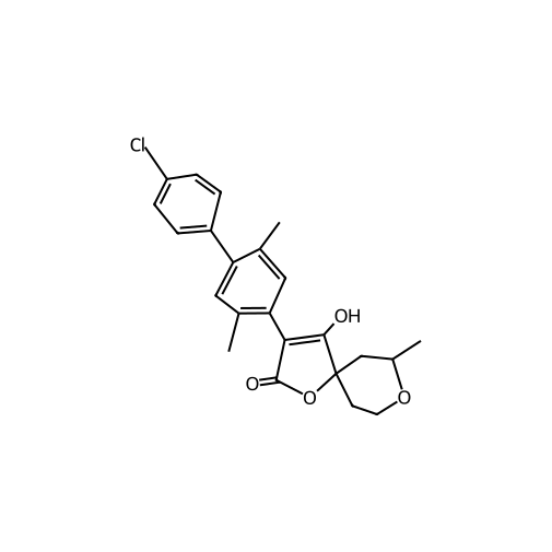 Cc1cc(-c2ccc(Cl)cc2)c(C)cc1C1=C(O)C2(CCOC(C)C2)OC1=O